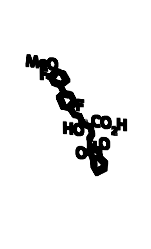 COc1ccc(-c2ccc(CC[C@@H](O)C(CCN3C(=O)c4ccccc4C3=O)C(=O)O)c(F)c2)cc1F